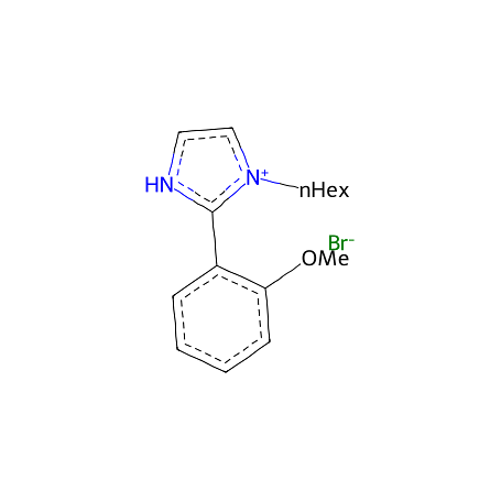 CCCCCC[n+]1cc[nH]c1-c1ccccc1OC.[Br-]